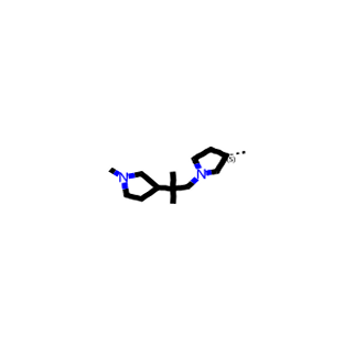 C[C@H]1CCN(CC(C)(C)C2CCN(C)C2)C1